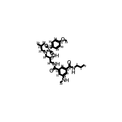 CCCNC(=O)c1cc(NC)cc(C(=O)NC[C@H](O)CN(CC(C)C)S(=O)(=O)c2ccc(OC)cc2)c1